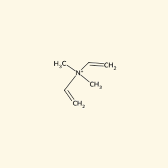 C=C[N+](C)(C)C=C